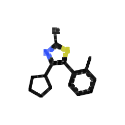 CCc1nc(C2CCCC2)c(-c2ccccc2C)s1